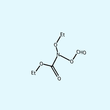 CCOC(=O)N(OC=O)OCC